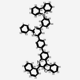 c1ccc(-c2nc(-c3ccc(-c4ccc5c(c4)nc(-c4cccc6ccccc46)c4oc6ccccc6c45)cc3)cc(-c3cccc(-n4c5ccccc5c5ccccc54)c3)n2)cc1